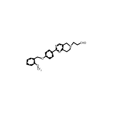 O=CCCN1CCc2nc(-c3ccc(OCc4ccccc4OC(F)(F)F)cc3)ncc2C1